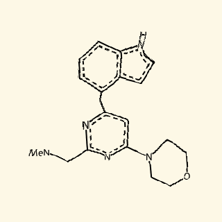 CNCc1nc(-c2cccc3[nH]ccc23)cc(N2CCOCC2)n1